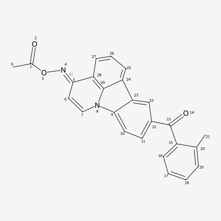 CC(=O)O/N=c1\ccn2c3ccc(C(=O)c4ccccc4C)cc3c3cccc1c32